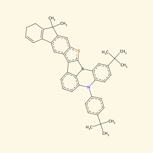 CC(C)(C)c1ccc(N2c3ccc(C(C)(C)C)cc3B3c4sc5cc6c(cc5c4-c4cccc2c43)C2=C(CCC=C2)C6(C)C)cc1